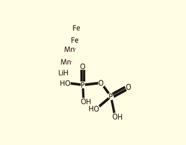 O=P(O)(O)OP(=O)(O)O.[Fe].[Fe].[LiH].[Mn].[Mn]